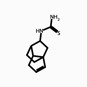 NC(=S)NC1CC23C=CCC2C1CC3